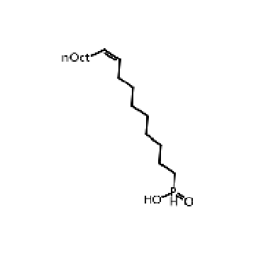 CCCCCCCC/C=C\CCCCCCCC[PH](=O)O